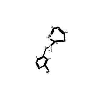 Fc1cccc(CNc2cc[c]cn2)c1